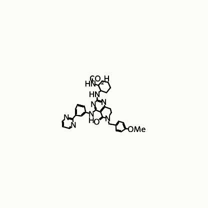 COc1ccc(CN2CCc3nc(NC4CCCCC4NC(=O)O)nc(Nc4cccc(-c5ncccn5)c4)c3C2=O)cc1